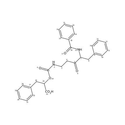 O=C(NCCC(=O)C(Cc1ccccc1)NC(=O)c1ccccc1)OC(Cc1ccccc1)C(=O)O